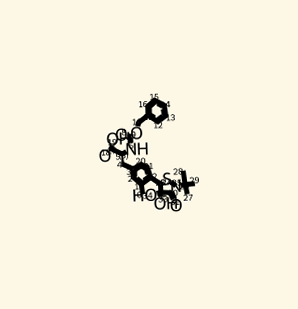 Cc1cc(C[C@H](NC(=O)OCc2ccccc2)C(=O)O)ccc1C1SN(C(C)(C)C)C(=O)C1(O)O